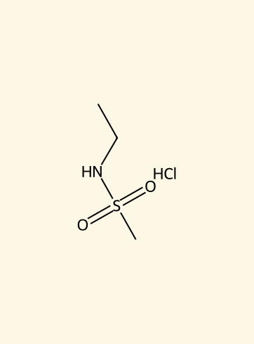 CCNS(C)(=O)=O.Cl